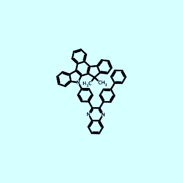 CC1(C)c2ccccc2-c2c1c1c(c3ccccc23)c2ccccc2n1-c1ccc(-c2nc3ccccc3nc2-c2ccc(-c3ccccc3)cc2)cc1